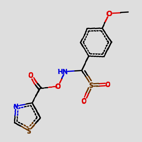 COc1ccc(C(NOC(=O)c2cscn2)=S(=O)=O)cc1